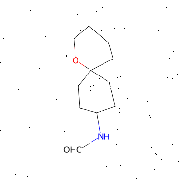 O=CNC1CCC2(CCCCO2)CC1